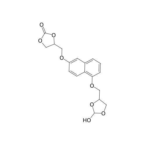 O=C1OCC(COc2ccc3c(OCC4COC(O)O4)cccc3c2)O1